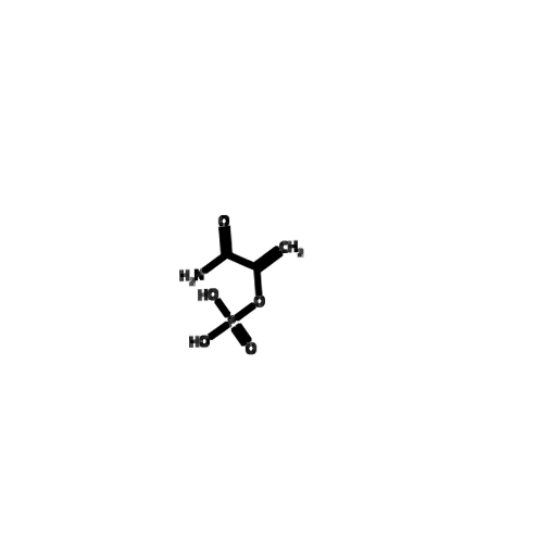 C=C(OP(=O)(O)O)C(N)=O